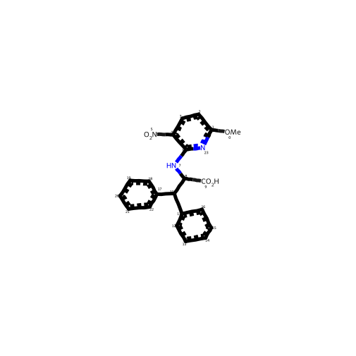 COc1ccc([N+](=O)[O-])c(NC(C(=O)O)C(c2ccccc2)c2ccccc2)n1